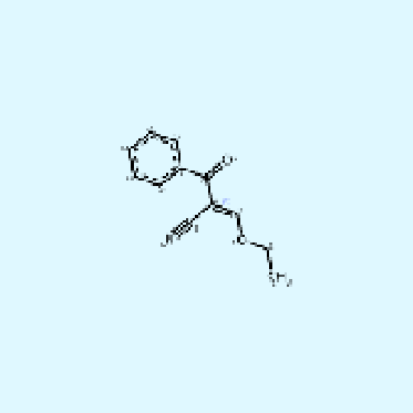 CCO/C=C(\C#N)C(=O)c1ccccc1